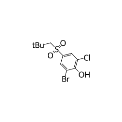 CC(C)(C)CS(=O)(=O)c1cc(Cl)c(O)c(Br)c1